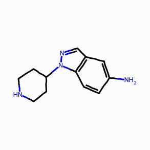 Nc1ccc2c(cnn2C2CCNCC2)c1